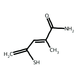 C=C(S)/C=C(\C)C(N)=O